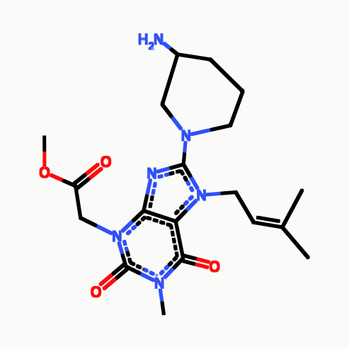 COC(=O)Cn1c(=O)n(C)c(=O)c2c1nc(N1CCCC(N)C1)n2CC=C(C)C